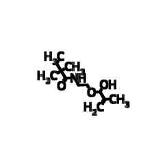 C=C(C)C(O)OCCNC(=O)C(C)(C)CC